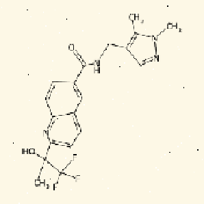 Cc1c(CNC(=O)c2ccc3nc(C(C)(O)C(F)(F)F)ccc3c2)cnn1C